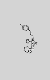 Cc1ccc(CCC[C@H]2C(=O)N(OC3CCCCO3)[C@H]2C)cc1